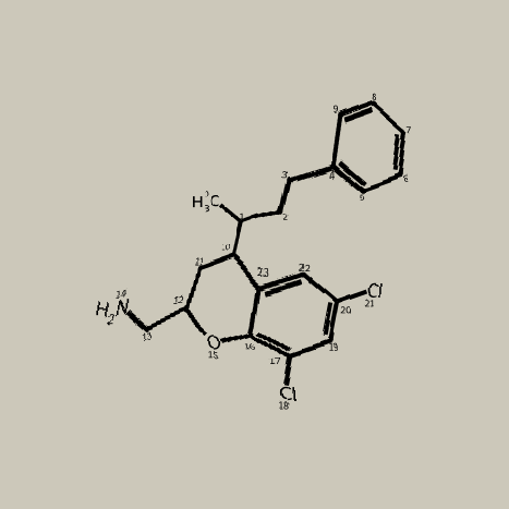 CC(CCc1ccccc1)C1CC(CN)Oc2c(Cl)cc(Cl)cc21